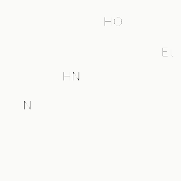 CCC(O)CNc1ccccn1